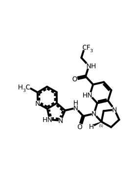 Cc1ccc2c(NC(=O)N3C4=C(C=CC(C(=O)NCC(F)(F)F)N4)N4CC[C@H]3C4)n[nH]c2n1